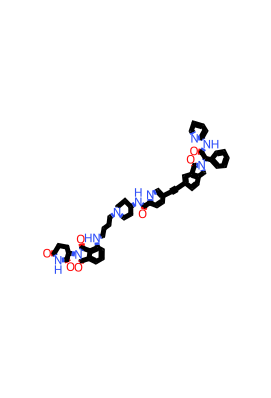 O=C1CCC(N2C(=O)c3cccc(NCCCCN4CCC(NC(=O)c5ccc(C#Cc6ccc7c(c6)C(=O)N(C(C(=O)Nc6ccccn6)c6ccccc6)C7)cn5)CC4)c3C2=O)C(=O)N1